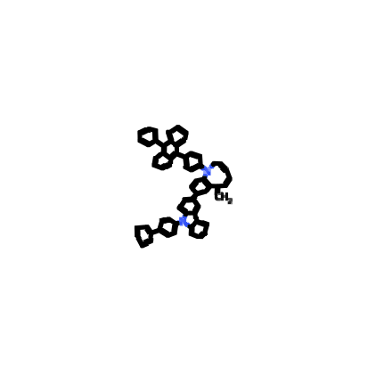 C=C1/C=C\C=C/CN(c2ccc(-c3c4ccccc4c(-c4ccccc4)c4ccccc34)cc2)c2ccc(-c3ccc4c(c3)c3ccccc3n4-c3ccc(-c4ccccc4)cc3)cc21